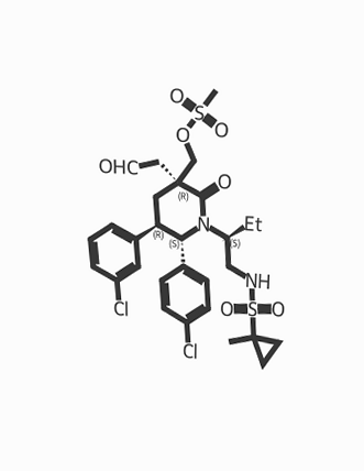 CC[C@@H](CNS(=O)(=O)C1(C)CC1)N1C(=O)[C@](CC=O)(COS(C)(=O)=O)C[C@H](c2cccc(Cl)c2)[C@H]1c1ccc(Cl)cc1